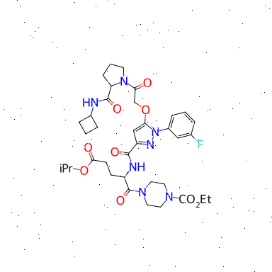 CCOC(=O)N1CCN(C(=O)C(CCC(=O)OC(C)C)NC(=O)c2cc(OCC(=O)N3CCCC3C(=O)NC3CCC3)n(-c3cccc(F)c3)n2)CC1